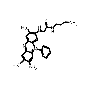 Cc1cc2nc3cc(C)c(NCC(=O)NCCCN)cc3[n+](-c3ccccc3)c2cc1N